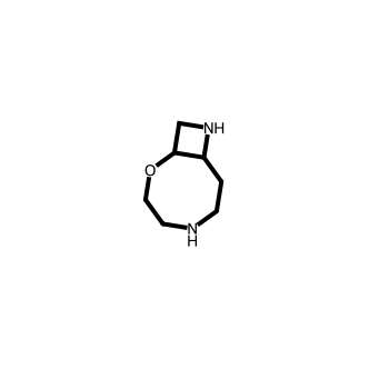 C1COC2CNC2CCN1